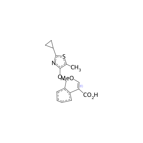 CO/C=C(/C(=O)O)c1ccccc1COc1nc(C2CC2)sc1C